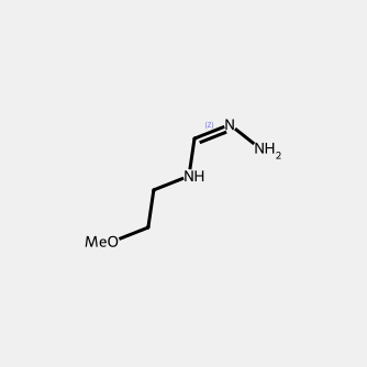 COCCN/C=N\N